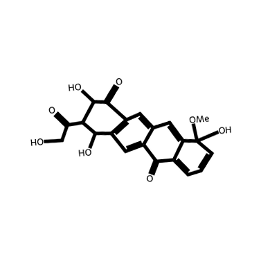 COC1(O)C=CC=C2C(=O)c3cc4c(cc3C=C21)C(=O)C(O)C(C(=O)CO)C4O